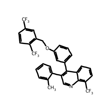 Cc1ccccc1-c1cnc2c(C(F)(F)F)cccc2c1-c1cccc(OCc2cc(C(F)(F)F)ccc2C(F)(F)F)c1